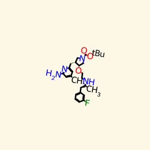 Cc1cc(N)nc(C[C@@H]2CN(C(=O)OC(C)(C)C)C[C@@H]2OCCNC(C)Cc2cccc(F)c2)c1